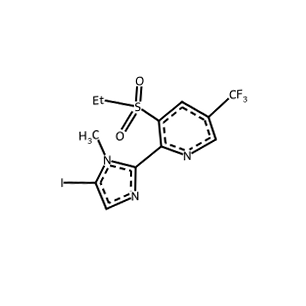 CCS(=O)(=O)c1cc(C(F)(F)F)cnc1-c1ncc(I)n1C